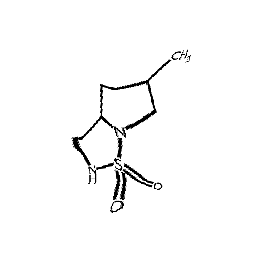 CC1CC2CNS(=O)(=O)N2C1